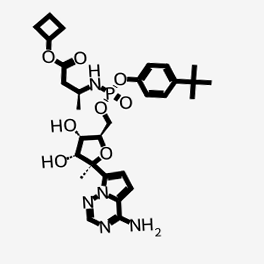 C[C@@H](CC(=O)OC1CCC1)NP(=O)(OC[C@H]1O[C@@](C)(c2ccc3c(N)ncnn23)[C@H](O)[C@@H]1O)Oc1ccc(C(C)(C)C)cc1